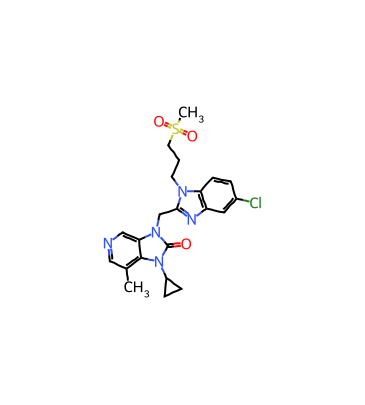 Cc1cncc2c1n(C1CC1)c(=O)n2Cc1nc2cc(Cl)ccc2n1CCCS(C)(=O)=O